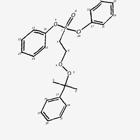 CC(C)(OOCCP(=O)(Oc1ccccc1)Oc1ccccc1)c1ccccc1